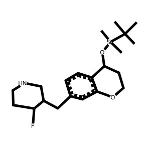 CC(C)(C)[Si](C)(C)OC1CCOc2cc(CC3CNCCC3F)ccc21